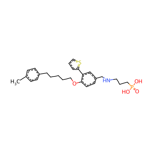 Cc1ccc(CCCCCOc2ccc(CNCCCP(=O)(O)O)cc2-c2cccs2)cc1